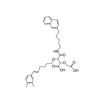 Cc1ccc(C=CCCCCOC(C(=O)NCCCCCc2ccc3ccccc3c2)C(OCC(=O)O)C(=O)O)cc1C